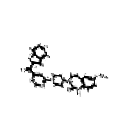 COc1ccc2c(c1)CCN(C1CCN(c3cc(C(=O)c4cc5ccccc5s4)ncn3)CC1)C(=O)N2